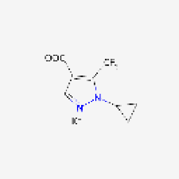 O=C([O-])c1cnn(C2CC2)c1C(F)(F)F.[K+]